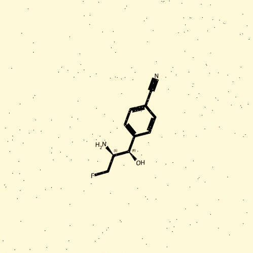 N#Cc1ccc([C@@H](O)[C@H](N)CF)cc1